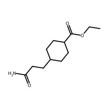 CCOC(=O)C1CCC(CCC(N)=O)CC1